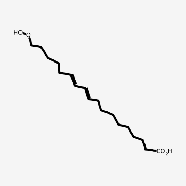 O=C(O)CCCCCCCCC=CC=CCCCCCOO